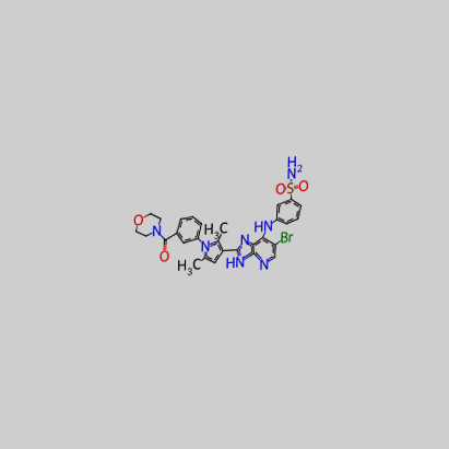 Cc1cc(-c2nc3c(Nc4cccc(S(N)(=O)=O)c4)c(Br)cnc3[nH]2)c(C)n1-c1cccc(C(=O)N2CCOCC2)c1